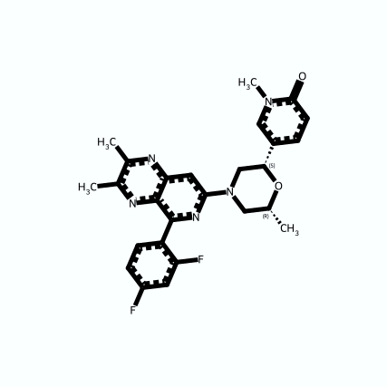 Cc1nc2cc(N3C[C@@H](C)O[C@@H](c4ccc(=O)n(C)c4)C3)nc(-c3ccc(F)cc3F)c2nc1C